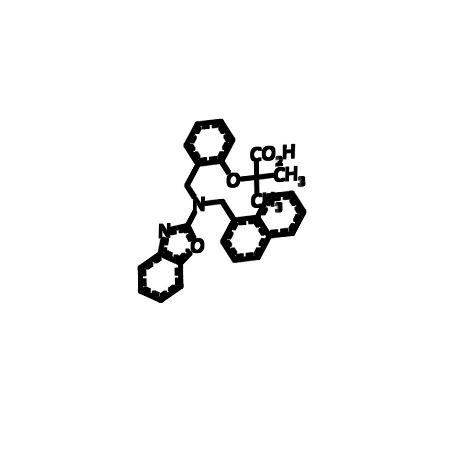 CC(C)(Oc1ccccc1CN(Cc1cccc2ccccc12)c1nc2ccccc2o1)C(=O)O